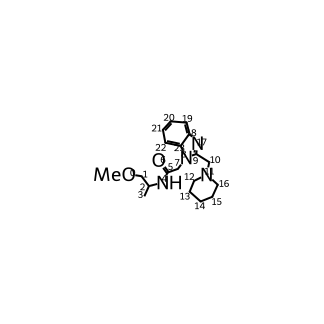 COCC(C)NC(=O)Cn1c(CN2CCCCC2)nc2ccccc21